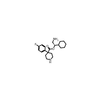 NC[C@H](OC(=O)C1(c2ccc(F)cc2)CCNCC1)C1CCCCC1